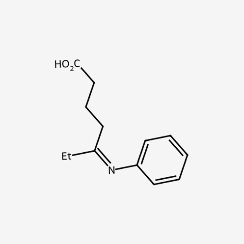 CCC(CCCC(=O)O)=Nc1ccccc1